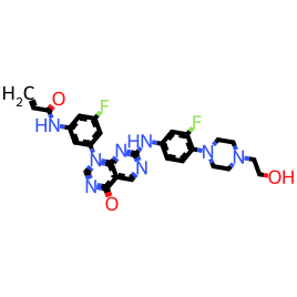 C=CC(=O)Nc1cc(F)cc(-n2cnc(=O)c3cnc(Nc4ccc(N5CCN(CCO)CC5)c(F)c4)nc32)c1